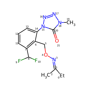 CCC(C)=NOCc1c(C(F)F)cccc1-n1nnn(C)c1=O